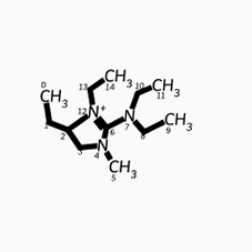 CCC1CN(C)C(N(CC)CC)=[N+]1CC